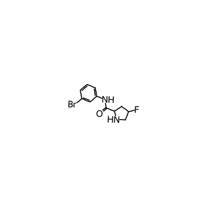 O=C(Nc1cccc(Br)c1)C1CC(F)CN1